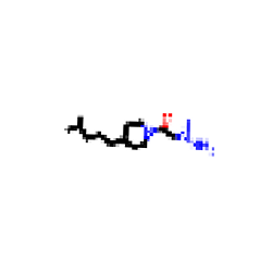 CC(C)CCCC1CCN(C(=O)CNN)CC1